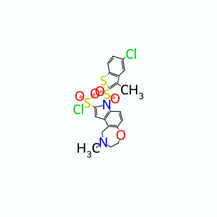 Cc1c(S(=O)(=O)n2c(S(=O)(=O)Cl)cc3c4c(ccc32)OCCN(C)C4)sc2ccc(Cl)cc12